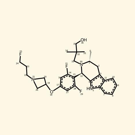 C[C@@H]1Cc2c([nH]c3ccccc23)[C@@H](c2c(F)cc(OC3CN(CCCF)C3)cc2F)N1CC(C)(C)CO